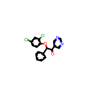 O=C(c1cncnc1)C(Oc1ccc(Cl)cc1Cl)c1ccccc1